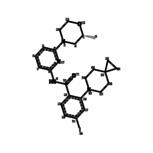 C[C@@H]1CN(c2cccc(NC(=O)c3ccc(I)cc3N3CCC4(CC3)CC4)n2)CCO1